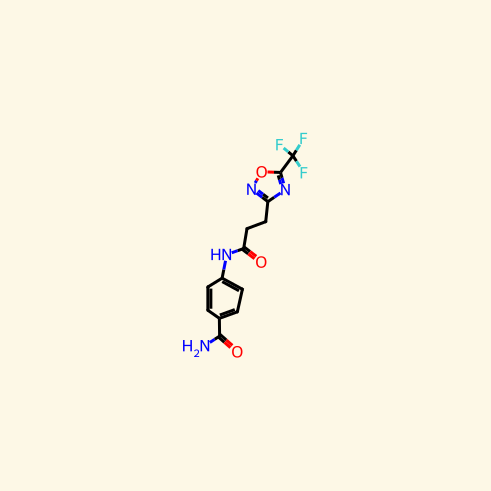 NC(=O)c1ccc(NC(=O)CCc2noc(C(F)(F)F)n2)cc1